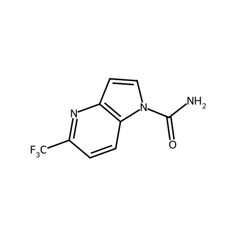 NC(=O)n1ccc2nc(C(F)(F)F)ccc21